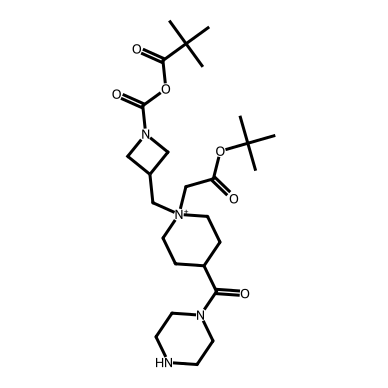 CC(C)(C)OC(=O)C[N+]1(CC2CN(C(=O)OC(=O)C(C)(C)C)C2)CCC(C(=O)N2CCNCC2)CC1